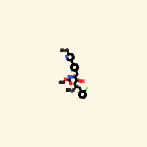 COc1ccc(-c2ccc(C[C@H](NC(=O)OC(C)(C)C)[C@@H](O)C[C@@H](Cc3ccccc3F)C(=O)O)cc2)cn1